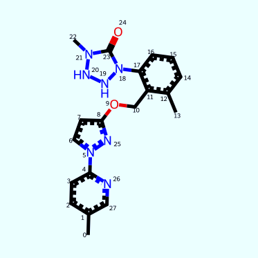 Cc1ccc(-n2ccc(OCc3c(C)cccc3N3NNN(C)C3=O)n2)nc1